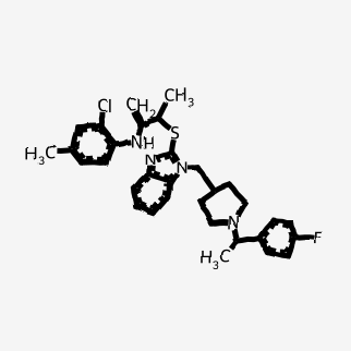 C=C(Nc1ccc(C)cc1Cl)C(C)Sc1nc2ccccc2n1CC1CCN(C(C)c2ccc(F)cc2)CC1